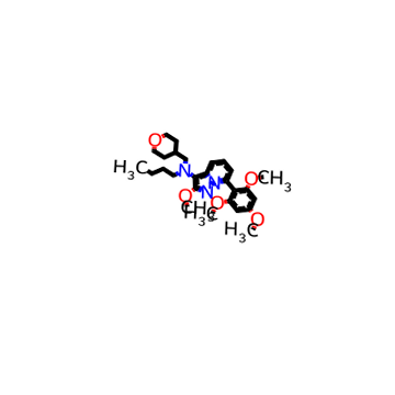 CCCCN(CC1CCOCC1)c1c(OC)nn2c(-c3c(OC)cc(OC)cc3OC)cccc12